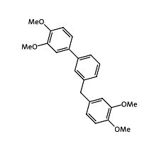 COc1ccc(Cc2cccc(-c3ccc(OC)c(OC)c3)c2)cc1OC